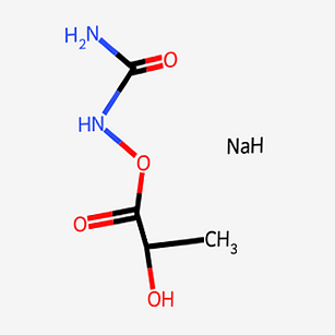 CC(O)C(=O)ONC(N)=O.[NaH]